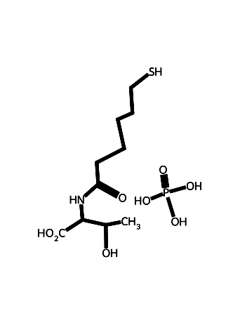 CC(O)C(NC(=O)CCCCCS)C(=O)O.O=P(O)(O)O